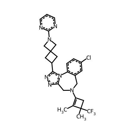 CC1=C(N2Cc3cc(Cl)ccc3-n3c(nnc3C3CC4(C3)CN(c3ncccn3)C4)C2)CC1(C)C(F)(F)F